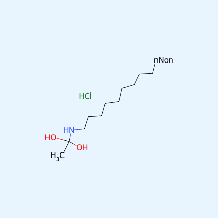 CCCCCCCCCCCCCCCCCCNC(C)(O)O.Cl